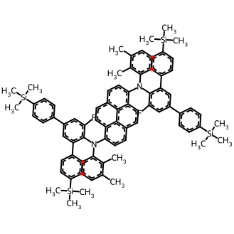 Cc1cccc(N(c2c(F)cc(-c3ccc([Si](C)(C)C)cc3)cc2-c2ccc([Si](C)(C)C)cc2)c2ccc3ccc4c(N(c5cccc(C)c5C)c5c(F)cc(-c6ccc([Si](C)(C)C)cc6)cc5-c5ccc([Si](C)(C)C)cc5)ccc5ccc2c3c54)c1C